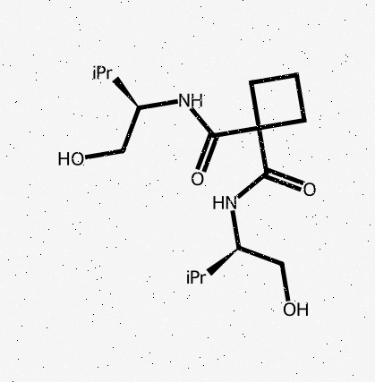 CC(C)[C@H](CO)NC(=O)C1(C(=O)N[C@@H](CO)C(C)C)CCC1